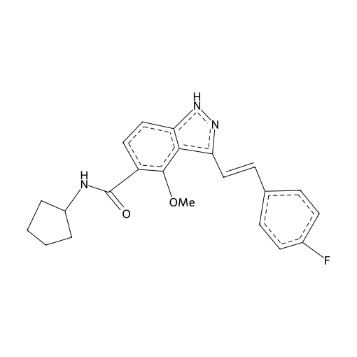 COc1c(C(=O)NC2CCCC2)ccc2[nH]nc(/C=C/c3ccc(F)cc3)c12